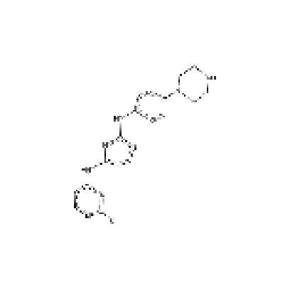 Clc1nccc(Nc2ccnc(Nc3ccc(N4CCNCC4)cc3)n2)n1